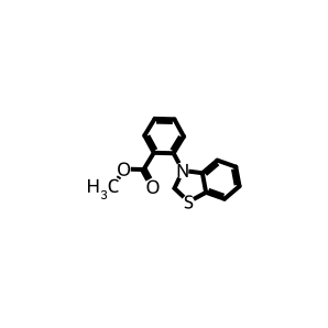 COC(=O)c1ccccc1N1CSc2ccccc21